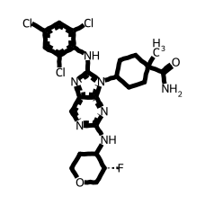 CC1(C(N)=O)CCC(n2c(Nc3c(Cl)cc(Cl)cc3Cl)nc3cnc(NC4CCOC[C@H]4F)nc32)CC1